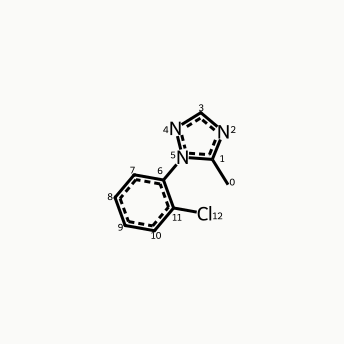 Cc1ncnn1-c1ccccc1Cl